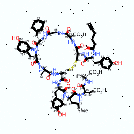 C#CCCCC(=O)N[C@H](Cc1ccc(O)cc1)C(=O)N[C@@H]1CSSC[C@@H](C(=O)N[C@H](Cc2ccc(O)cc2)C(=O)N[C@H](CCSC)C(=O)N[C@H](CC(=O)O)C(=O)N[C@@H](C(=O)O)C(C)C)NC(=O)[C@@H](C)NC(=O)[C@@H](Cc2ccc(O)cc2)NC(=O)[C@H](Cc2ccccc2)NC(=O)CNC(=O)[C@@H](C(=O)O)NC1=O